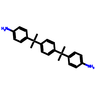 C[Si](C)(c1ccc(N)cc1)c1ccc([Si](C)(C)c2ccc(N)cc2)cc1